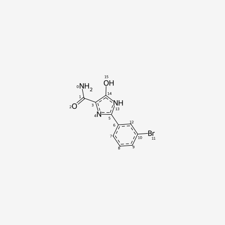 NC(=O)c1nc(-c2cccc(Br)c2)[nH]c1O